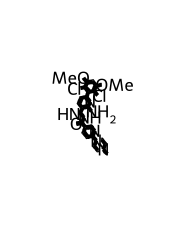 COc1cc(OC)c(Cl)c(-c2ccc(C(=N)NC(=O)c3ccc(N4CCN(C)CC4)nc3)c(N)n2)c1Cl